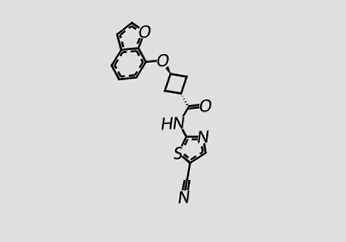 N#Cc1cnc(NC(=O)[C@H]2C[C@H](Oc3cccc4ccoc34)C2)s1